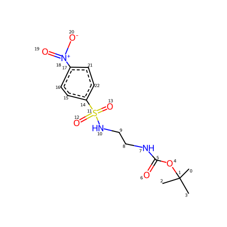 CC(C)(C)OC(=O)NCCNS(=O)(=O)c1ccc([N+](=O)[O-])cc1